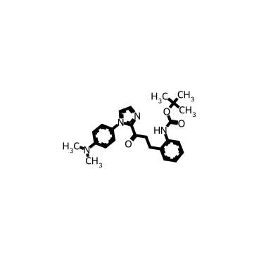 CN(C)c1ccc(-n2ccnc2C(=O)CCc2ccccc2NC(=O)OC(C)(C)C)cc1